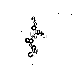 C[C@H]1CCCCN1c1nnc2ccc(O[C@@H]3CC[C@H](NC(=O)Nc4cc(C(C)(C)CO)nn4-c4cccc(OCCN(C)C)c4)c4ccccc43)cn12